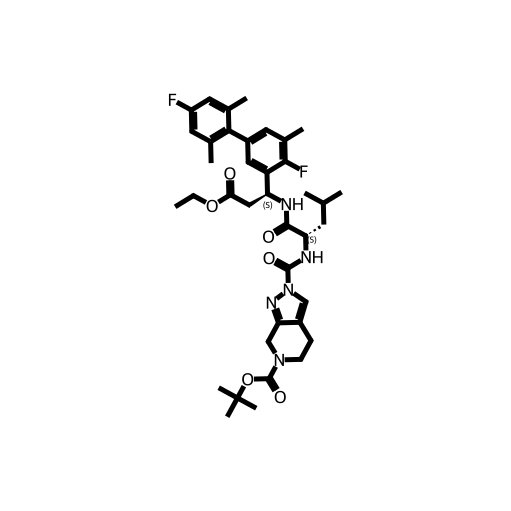 CCOC(=O)C[C@H](NC(=O)[C@H](CC(C)C)NC(=O)n1cc2c(n1)CN(C(=O)OC(C)(C)C)CC2)c1cc(-c2c(C)cc(F)cc2C)cc(C)c1F